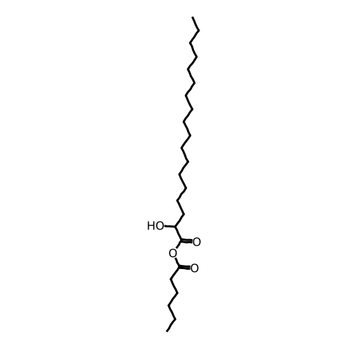 CCCCCCCCCCCCCCCCC(O)C(=O)OC(=O)CCCCC